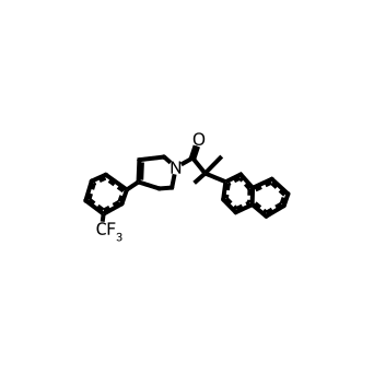 CC(C)(C(=O)N1CC=C(c2cccc(C(F)(F)F)c2)CC1)c1ccc2ccccc2c1